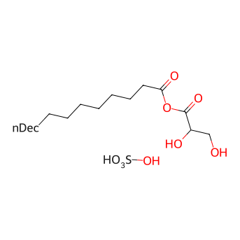 CCCCCCCCCCCCCCCCCC(=O)OC(=O)C(O)CO.O=S(=O)(O)O